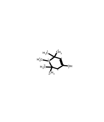 CN1C(C)(C)C=C(O)CC1(C)C